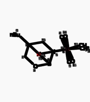 CCCCC12COB(N(S(C)(=O)=O)C1)N(S(C)(=O)=O)C2